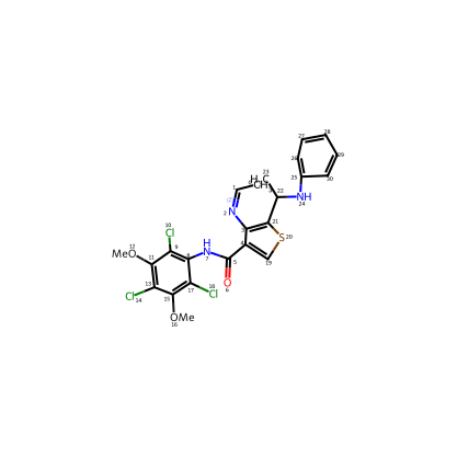 C/C=N\c1c(C(=O)Nc2c(Cl)c(OC)c(Cl)c(OC)c2Cl)csc1C(C)Nc1ccccc1